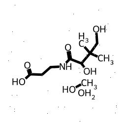 CC(C)(CO)C(O)C(=O)NCCC(=O)O.CO.O